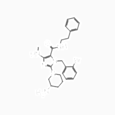 CNc1nc(N2CCC[C@@H](N)C2)n(Cc2ccccc2Br)c1C(=O)NCCc1ccccc1